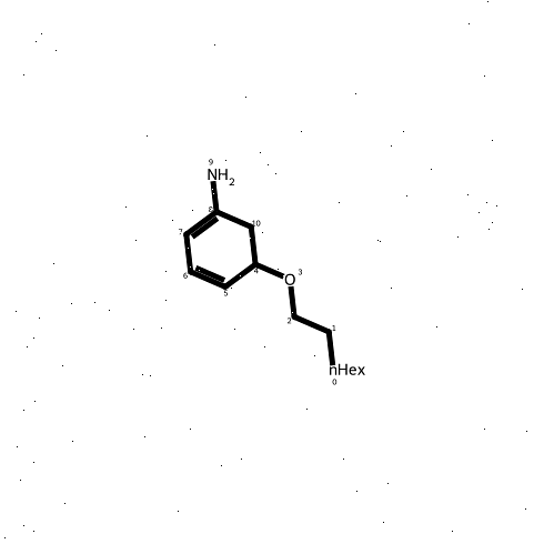 CCCCCCCCOC1C=CC=C(N)C1